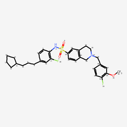 O=S(=O)(Nc1ccc(CCCC2CCCC2)cc1F)c1ccc2c(c1)CCN(Cc1ccc(F)c(OC(F)(F)F)c1)C2